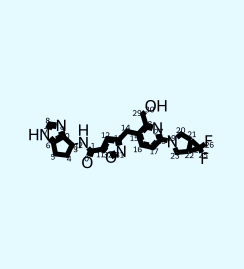 O=C(N[C@@H]1CCc2[nH]cnc21)c1cc(Cc2ccc(N3CC4C(C3)C4(F)F)nc2CO)no1